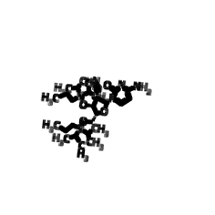 CCC[Si](OC[C@H]1O[C@@H](n2ccc(N)nc2=O)[C@@H](C#N)[C@@H]1O[Si](CCC)(C(C)C)C(C)C)(C(C)C)C(C)C